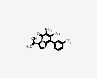 C=C(O)[C@@H]1CSc2c(-c3cccc(C(F)(F)F)c3)c(CCCC)c([N+](=O)[O-])c(=O)n21